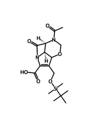 CC(=O)N1COC2C(CO[Si](C)(C)C(C)(C)C)=C(C(=O)O)N3C(=O)[C@@H]1[C@@H]23